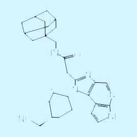 N#CC[C@H]1CC[C@H](n2c(CC(=O)NCC34CC5CC(CC(C5)C3)C4)nc3cnc4[nH]ccc4c32)CC1